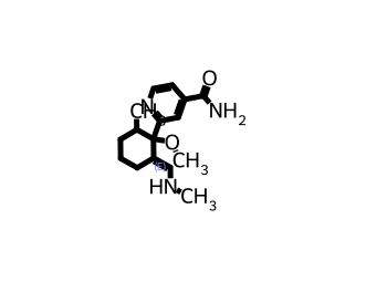 CN/C=C1\CCCC(C)C1(OC)c1cc(C(N)=O)ccn1